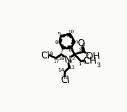 CCC(C(=O)O)(c1ccccc1)N(CCCl)CCCl